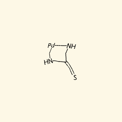 S=C1[NH][Pd][NH]1